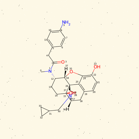 CN(C(=O)Cc1ccc(N)cc1)[C@H]1CC[C@@]2(O)[C@H]3Cc4ccc(O)c5c4[C@@]2(CCN3CC2CC2)[C@H]1O5